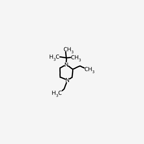 CCC1CN(CC)CCN1C(C)(C)C